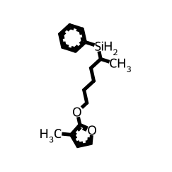 Cc1ccoc1OCCCCC(C)[SiH2]c1ccccc1